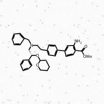 COC(=O)c1ccc(-c2ccc(CCN(Cc3ccccc3)C[C@H](OC3CCCCO3)c3ccccc3)cc2)cc1N